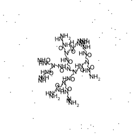 N=NNCCNC(=O)CCN(CCNC(=O)CCN(CCC(=O)NCCN(CCC(=O)NCCN=NN)CCC(=O)NCCNN)CCN(CCC(=O)NCCN(CCC(=O)NCCN)CCC(=O)NCCNN=N)CCC(=O)NCCN(CCC(=O)NCCNN)CCC(=O)NCCNN=N)CCC(=O)NCCN